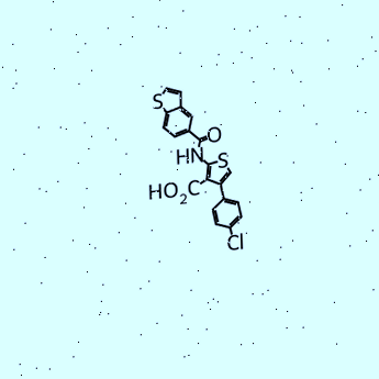 O=C(Nc1scc(-c2ccc(Cl)cc2)c1C(=O)O)c1ccc2sccc2c1